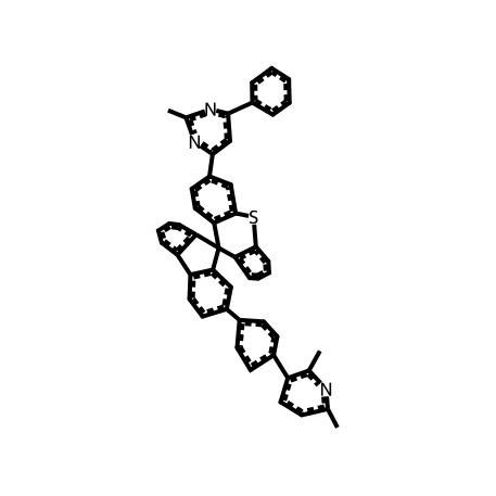 Cc1ccc(-c2ccc(-c3ccc4c(c3)C3(c5ccccc5Sc5cc(-c6cc(-c7ccccc7)nc(C)n6)ccc53)c3ccccc3-4)cc2)c(C)n1